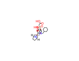 O=C(O)CS(=O)(=O)CC(=O)N(CCN1[C@@H]2CC[C@H]1C[C@@H](c1cccc(O)c1)C2)CC1CCCCC1